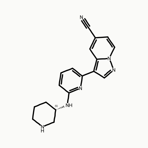 N#Cc1ccn2ncc(-c3cccc(N[C@H]4CCCNC4)n3)c2c1